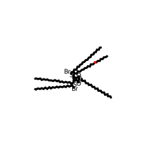 CCCCCCCCCCCCCCCCCCCCc1c(Br)sc(-c2sc(-c3sc(Br)c(CCCCCCCCCCCCCCCCCCCC)c3CCCCCCCCCCCCCCCCCCCC)c3c2C(=O)N(CCCCCCCCCCCCCCCCCCCC)C3=O)c1CCCCCCCCCCCCCCCCCCCC